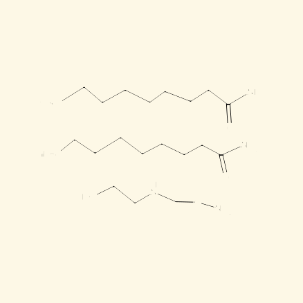 CCCCCCCCCCCCCCCCCC(N)=O.CCCCCCCCCCCCCCCCCC(N)=O.NCCNCCO